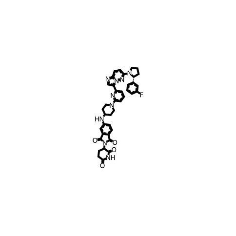 O=C1CCC(N2C(=O)c3ccc(NC4CCN(c5cccc(-c6cnc7ccc(N8CCC[C@@H]8c8cccc(F)c8)nn67)n5)CC4)cc3C2=O)C(=O)N1